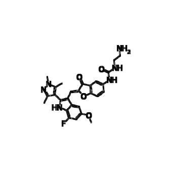 COc1cc(F)c2[nH]c(-c3c(C)nn(C)c3C)c(/C=C3\Oc4ccc(NC(=O)NCCN)cc4C3=O)c2c1